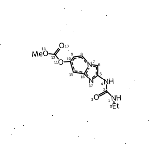 CCNC(=O)Nc1cn2ccc(OC(=O)OC)cc2n1